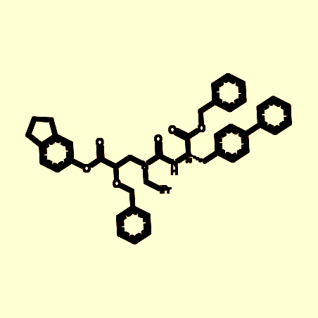 CC(C)CN(CC(OCc1ccccc1)C(=O)Oc1ccc2c(c1)CCC2)C(=O)N[C@@H](Cc1ccc(-c2ccccc2)cc1)C(=O)OCc1ccccc1